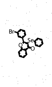 O=c1c([Se]c2ccccc2)c(-c2cccc(Br)c2)oc2ccccc12